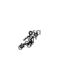 CCCCCC(O)c1cccc(SC2C(Cl)CC[C@@H]2CCCc2nc(F)c(C(=O)OCCN3CCOCC3)s2)c1